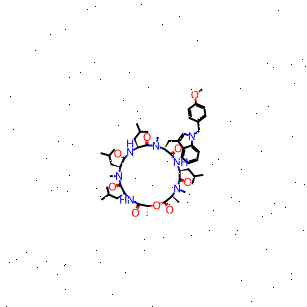 COc1ccc(Cn2cc(C[C@H]3C(=O)N[C@@H](CC(C)C)C(=O)N(C)[C@@H](C)C(=O)O[C@H](C)C(=O)N[C@@H](CC(C)C)C(=O)N(C)[C@@H](CC(C)C)C(=O)N[C@@H](CC(C)C)C(=O)N3C)c3ccccc32)cc1